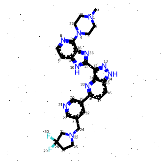 CN1CCN(c2nccc3[nH]c(-c4n[nH]c5ccc(-c6cncc(CN7CCC(F)(F)C7)c6)nc45)nc23)CC1